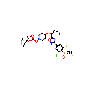 CC(OC1CCN(OC(=O)OC(C)(C)C)CC1)c1nc(-c2cc(F)c([S+](C)[O-])c(F)c2)no1